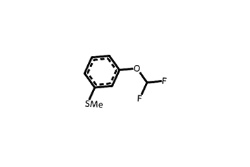 CSc1cccc(OC(F)F)c1